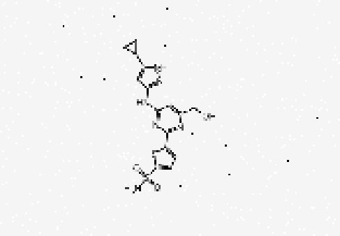 NS(=O)(=O)c1ccc(-c2nc(CO)cc(Nc3cc(C4CC4)[nH]n3)n2)s1